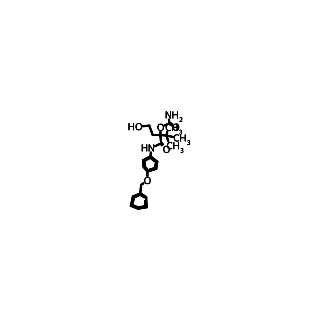 CC(C)(C)C(CCO)(OC(N)=O)C(=O)Nc1ccc(OCc2ccccc2)cc1